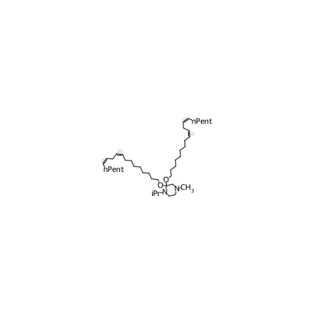 CCCCC/C=C\C/C=C\CCCCCCCCOC1(OCCCCCCCC/C=C\C/C=C\CCCCC)CN(C)CCN1C(C)C